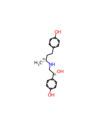 C[C@H](CCc1ccc(O)cc1)NC[C@H](O)c1ccc(O)cc1